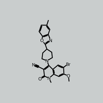 COc1cc2c(cc1Br)c(N1CCC(c3nc4cc(C)ccc4o3)CC1)c(C#N)c(=O)n2C